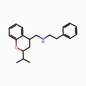 CC(C)C1CC(CNCCc2ccccc2)c2ccccc2O1